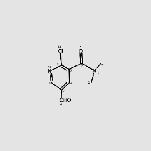 CN(C)C(=O)c1cc(C=O)cnc1Cl